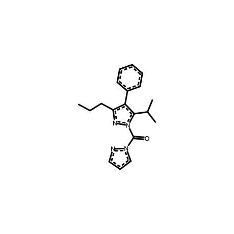 CCCc1nn(C(=O)n2cccn2)c(C(C)C)c1-c1ccccc1